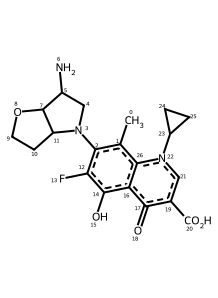 Cc1c(N2CC(N)C3OCCC32)c(F)c(O)c2c(=O)c(C(=O)O)cn(C3CC3)c12